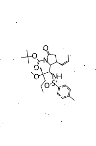 C/C=C\[C@@H]1CC(=O)N(C(=O)OC(C)(C)C)C1[C@@H](N[S+]([O-])c1ccc(C)cc1)[C@](C)(CCC)OC